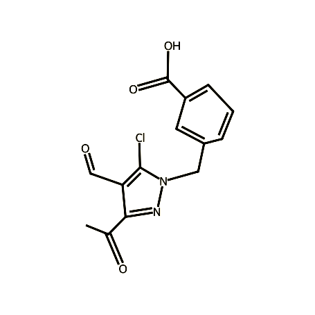 CC(=O)c1nn(Cc2cccc(C(=O)O)c2)c(Cl)c1C=O